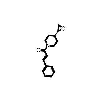 O=C(/C=C/c1ccccc1)N1CCC([C@H]2CO2)CC1